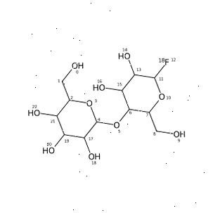 OCC1OC(OC2C(CO)OC([18F])C(O)C2O)C(O)C(O)C1O